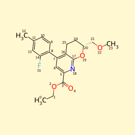 CCOC(=O)c1cc(-c2ccc(C)cc2F)c2c(n1)O[C@@H](COC)CC2